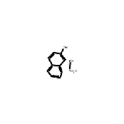 O=S(=O)(O)O.Oc1ccc2ccccc2c1